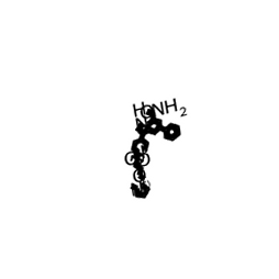 CN1CCC[C@H]1COCCS(=O)(=O)N1CCC(c2c[nH]c3c(C(N)=O)cc(-c4ccccc4)cc23)CC1